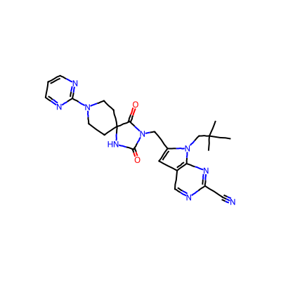 CC(C)(C)Cn1c(CN2C(=O)NC3(CCN(c4ncccn4)CC3)C2=O)cc2cnc(C#N)nc21